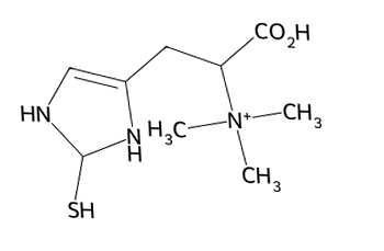 C[N+](C)(C)C(CC1=CNC(S)N1)C(=O)O